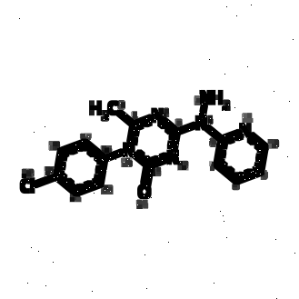 Cc1nc(N(N)c2ccccn2)nc(=O)n1-c1ccc(Cl)cc1